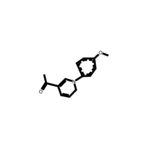 COc1ccc(N2C=C(C(C)=O)C=CC2)cc1